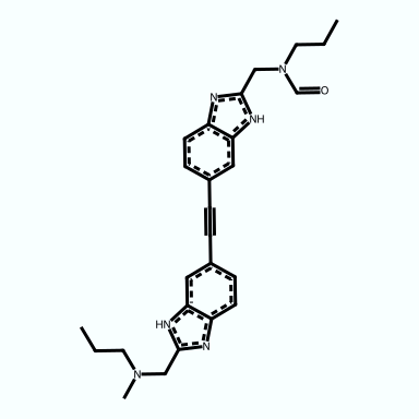 CCCN(C)Cc1nc2ccc(C#Cc3ccc4nc(CN(C=O)CCC)[nH]c4c3)cc2[nH]1